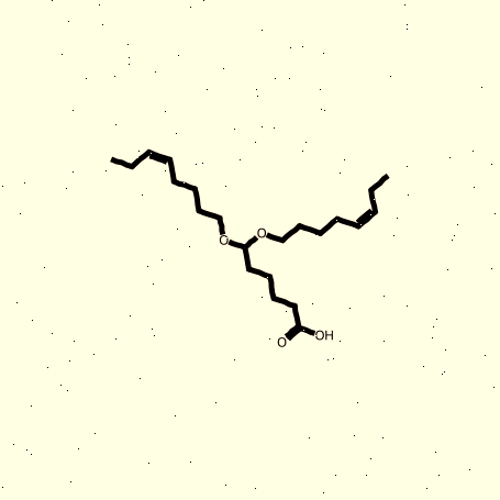 CC/C=C\CCCCOC(CCCCC(=O)O)OCCCC/C=C\CC